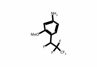 COc1cc(N)ccc1C(F)C(F)(F)C(F)(F)F